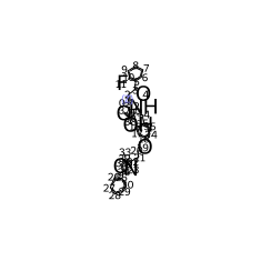 C/C(=C/C(=O)c1ccccc1F)NC(Cc1ccc(OCCc2nc(-c3ccccc3)oc2C)cc1)C(=O)O